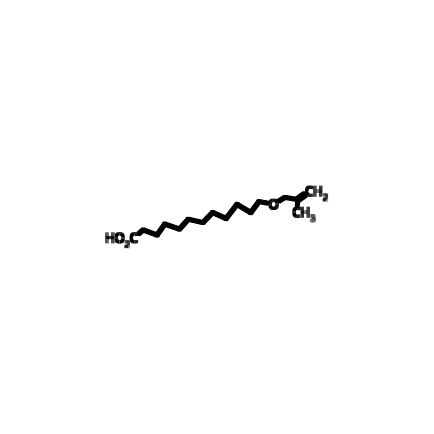 C=C(C)COCCCCCCCCCCCC(=O)O